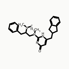 CN(CC(Cc1ccccc1)N(C)C)c1nc(=O)cc(CC2Cc3ccccc3C2)[nH]1